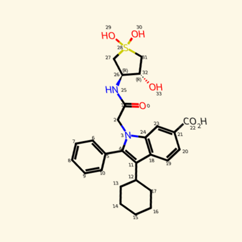 O=C(Cn1c(-c2ccccc2)c(C2CCCCC2)c2ccc(C(=O)O)cc21)N[C@H]1CS(O)(O)C[C@@H]1O